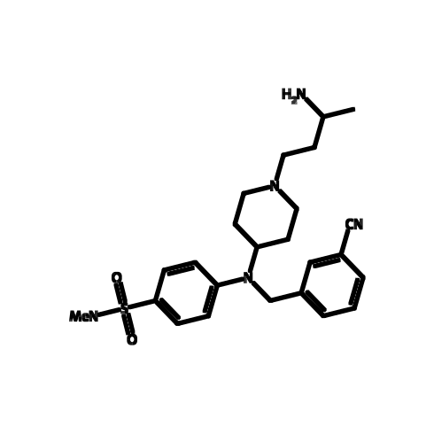 CNS(=O)(=O)c1ccc(N(Cc2cccc(C#N)c2)C2CCN(CCC(C)N)CC2)cc1